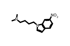 CN(C)CCCCn1ccc2ccc([N+](=O)[O-])cc21